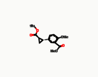 COC(=O)c1cc([C@@H]2C[C@H]2C(=O)OC(C)(C)C)ccc1OC